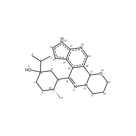 CC(C)C1(O)CC[C@@H](C)C(C2=NN3CCCOB3c3cnc4[nH]ccc4c32)C1